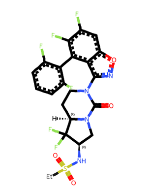 CCS(=O)(=O)N[C@@H]1CN2C(=O)N(c3noc4cc(F)c(F)c(-c5c(F)cccc5F)c34)CC[C@@H]2C1(F)F